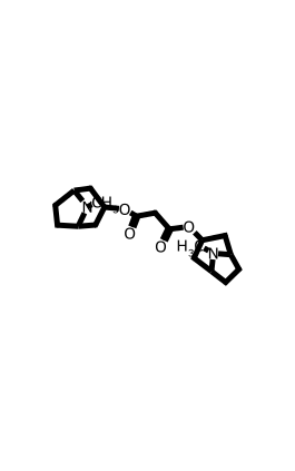 CN1C2CCC1CC(OC(=O)CC(=O)OC1CC3CCC(C1)N3C)C2